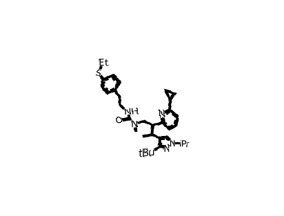 CCSc1ccc(CCNC(=O)N(C)CC(c2cccc(C3CC3)n2)C(C)c2cn(C(C)C)nc2C(C)(C)C)cc1